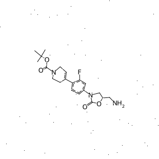 CC(C)(C)OC(=O)N1CC=C(c2ccc(N3CC(CN)OC3=O)cc2F)CC1